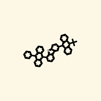 CC(C)(C)c1c2ccccc2c(-c2ccc3sc4c(-c5c6ccccc6c(-c6ccccc6)c6ccccc56)cccc4c3c2)c2ccccc12